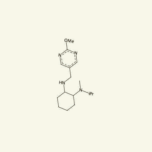 COc1ncc(CNC2CCCCC2N(C)C(C)C)cn1